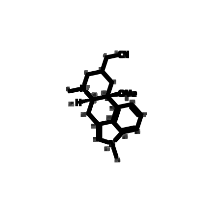 CO[C@]12CC(CC#N)CN(C)[C@@H]1Cc1cn(C)c3cccc2c13